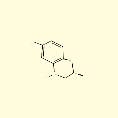 CCN1C[C@H](I)Oc2ccc(Cl)cc21